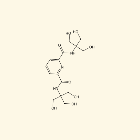 O=C(NC(CO)(CO)CO)c1cccc(C(=O)NC(CO)(CO)CO)n1